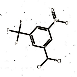 O=[N+]([O-])c1cc(C(Cl)Cl)cc(C(F)(F)F)c1